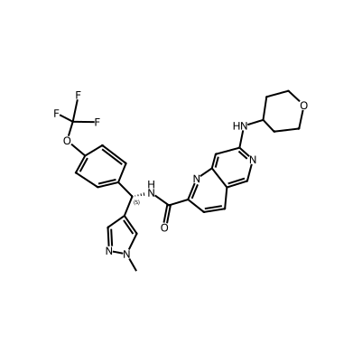 Cn1cc([C@@H](NC(=O)c2ccc3cnc(NC4CCOCC4)cc3n2)c2ccc(OC(F)(F)F)cc2)cn1